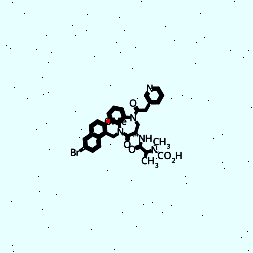 COc1ccc2cc(Br)ccc2c1CN1C(=O)[C@@H](NC(=O)C(C)N(C)C(=O)O)CN(C(=O)Cc2cccnc2)c2ccccc21